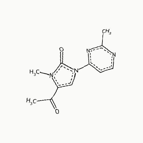 CC(=O)c1cn(-c2ccnc(C)n2)c(=O)n1C